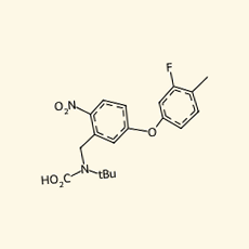 Cc1ccc(Oc2ccc([N+](=O)[O-])c(CN(C(=O)O)C(C)(C)C)c2)cc1F